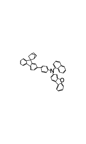 c1ccc2c(c1)-c1ccc(-c3ccc(N(c4ccc5c(c4)oc4ccccc45)c4cccc5ccccc45)cc3)cc1C21CC2CCC1C2